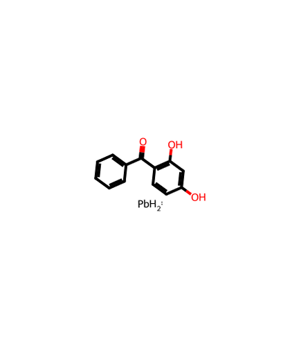 O=C(c1ccccc1)c1ccc(O)cc1O.[PbH2]